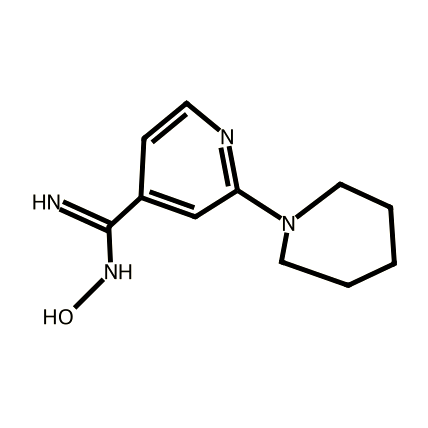 N=C(NO)c1ccnc(N2CCCCC2)c1